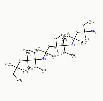 CCC(C)(C)CC(C)(C)C(CC)(CC)NC(C)(C)CC(C)(CC)C(C)(CC)NC(C)(C)CC(C)(N)CC